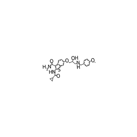 COc1ccc(CNCC(O)COc2ccc3c(C(N)=O)c(NC(=O)C4CC4)sc3c2)cc1